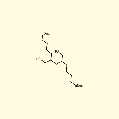 CCCCCCCCCCCCCCC(CO)SC(CO)CCCCCCCCCCCCCC